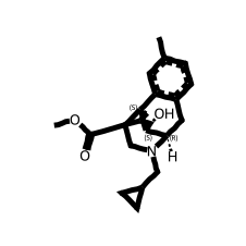 COC(=O)C1C[C@]23CCN(CC4CC4)[C@H](Cc4ccc(C)cc42)[C@]3(O)C1